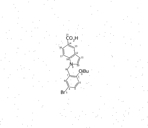 CC(C)COc1ccc(Br)cc1Cn1ccc2cc(C(=O)O)ccc21